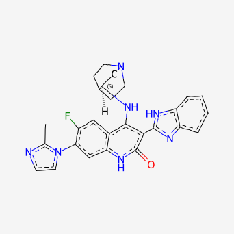 Cc1nccn1-c1cc2[nH]c(=O)c(-c3nc4ccccc4[nH]3)c(N[C@@H]3CN4CCC3CC4)c2cc1F